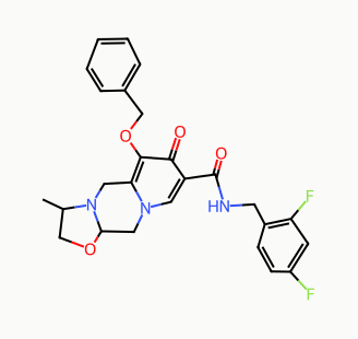 CC1COC2Cn3cc(C(=O)NCc4ccc(F)cc4F)c(=O)c(OCc4ccccc4)c3CN12